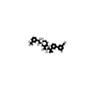 N#Cc1cc(F)cc(-c2cccc(C3(c4nc5c(c(=O)[nH]4)CN(C(=O)[C@H](O)c4cccc(C(F)(F)F)c4)CCC5)CC3)c2)c1